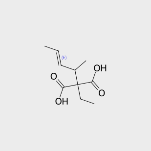 C/C=C/C(C)C(CC)(C(=O)O)C(=O)O